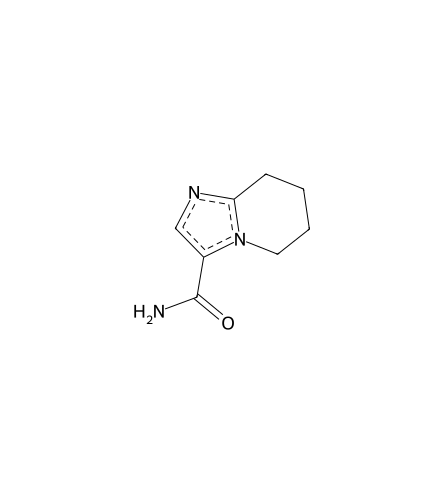 NC(=O)c1cnc2n1CCCC2